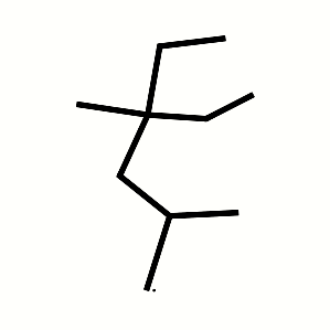 [CH2]C(C)CC(C)(CC)CC